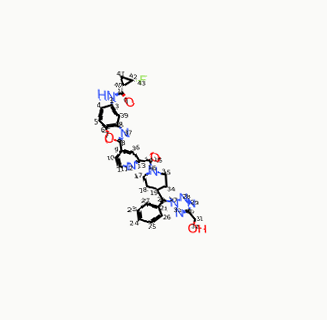 O=C(Nc1ccc2oc(-c3ccnc(C(=O)N4CCC(C(c5ccccc5)n5nnc(CO)n5)CC4)c3)nc2c1)[C@@H]1C[C@@H]1F